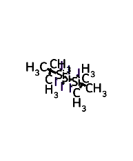 CC(C)(C)[Si](I)(I)[Si](I)(I)[Si](I)(I)C(C)(C)C